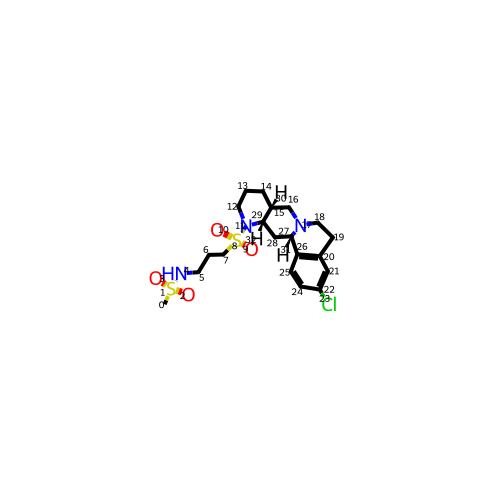 CS(=O)(=O)NCCCS(=O)(=O)N1CCC[C@@H]2CN3CCc4cc(Cl)ccc4[C@@H]3C[C@@H]21